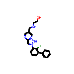 OCCNCC1=CN2NN(c3cccc(-c4ccccc4)c3Cl)C=C2N=C1